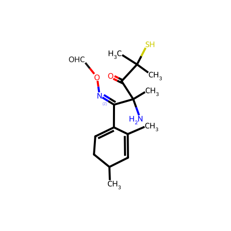 CC1=CC(C)CC=C1/C(=N/OC=O)C(C)(N)C(=O)C(C)(C)S